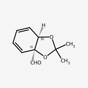 CC1(C)O[C@@H]2C=CC=C[C@]2(C=O)O1